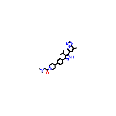 Cc1cc(-c2[nH]nc(-c3ccc(C4CCN(C(=O)CN(C)C)CC4)cc3)c2C(C)C)cn2ncnc12